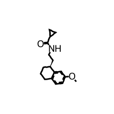 COc1ccc2c(c1)[C@H](CCNC(=O)C1CC1)CCC2